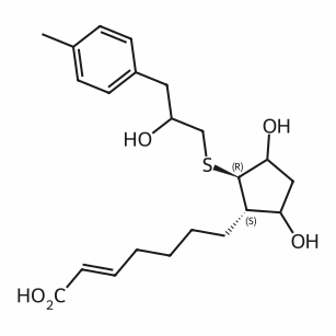 Cc1ccc(CC(O)CS[C@H]2C(O)CC(O)[C@@H]2CCCCC=CC(=O)O)cc1